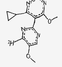 [2H]c1nc(-c2c(OC)ncnc2C2CC2)ncc1OC